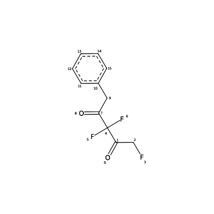 O=C(CF)C(F)(F)C(=O)Cc1ccccc1